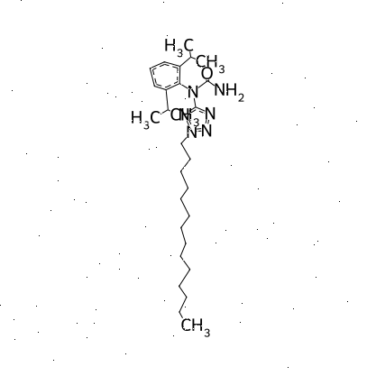 CCCCCCCCCCCCCCn1nnc(N(C(N)=O)c2c(C(C)C)cccc2C(C)C)n1